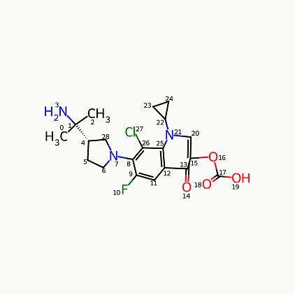 CC(C)(N)[C@H]1CCN(c2c(F)cc3c(=O)c(OC(=O)O)cn(C4CC4)c3c2Cl)C1